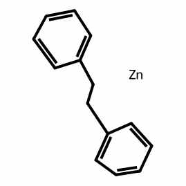 [Zn].c1ccc(CCc2ccccc2)cc1